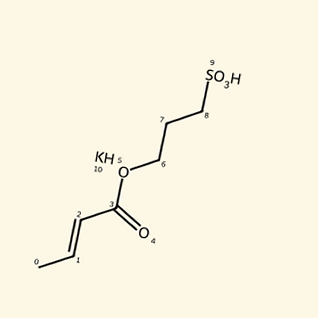 CC=CC(=O)OCCCS(=O)(=O)O.[KH]